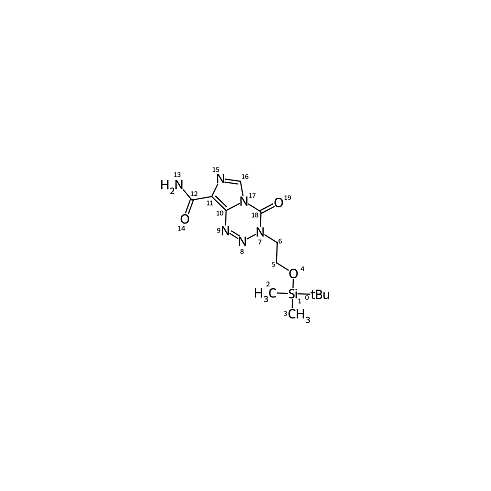 CC(C)(C)[Si](C)(C)OCCn1nnc2c(C(N)=O)ncn2c1=O